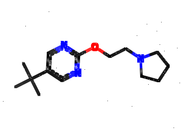 CC(C)(C)c1cnc(OCCN2CCCC2)nc1